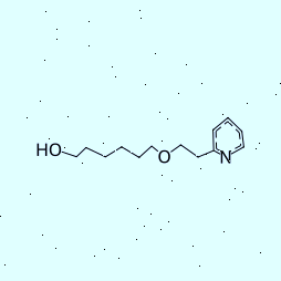 OCCCCCCOCCc1ccccn1